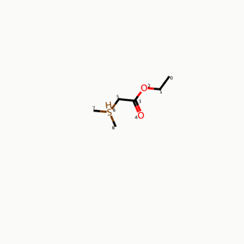 CCOC(=O)C[SH](C)C